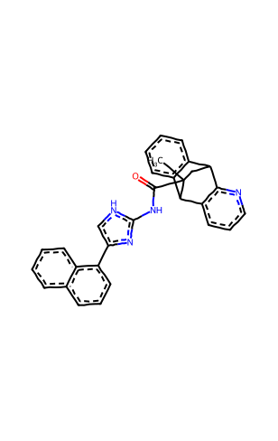 CC1(C(=O)Nc2nc(-c3cccc4ccccc34)c[nH]2)CC2c3ccccc3C1c1cccnc12